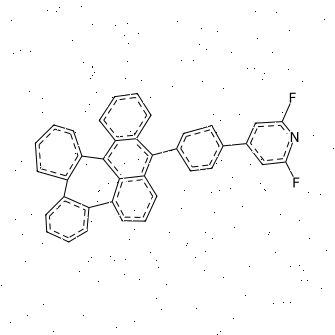 Fc1cc(-c2ccc(-c3c4ccccc4c4c5c(cccc35)-c3ccccc3-c3ccccc3-4)cc2)cc(F)n1